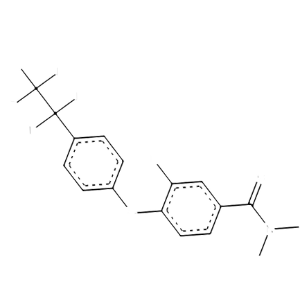 CN(C)C(=O)c1ccc(Oc2ccc(C(F)(F)C(F)(F)F)cc2)c(F)c1